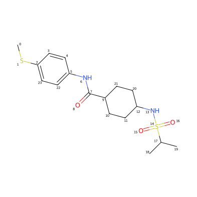 CSc1ccc(NC(=O)C2CCC(NS(=O)(=O)C(C)C)CC2)cc1